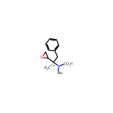 CC(C)(C)N(C(=O)O)[C@](C)(Cc1ccccc1)C1CO1